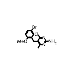 COc1ccc(Br)cc1Cc1c(C)nc(N)nc1Cl